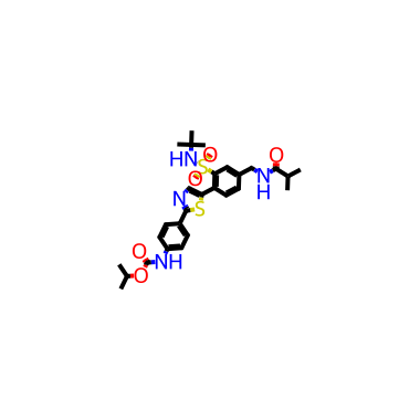 CC(C)OC(=O)Nc1ccc(-c2ncc(-c3ccc(CNC(=O)C(C)C)cc3S(=O)(=O)NC(C)(C)C)s2)cc1